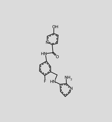 Nc1ncccc1NCc1cc(NC(=O)c2ccc(O)cn2)ccc1F